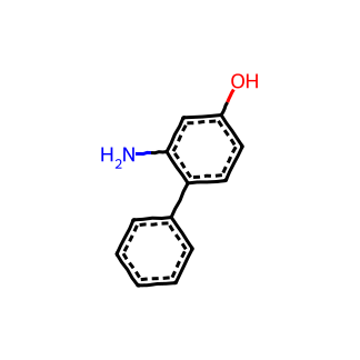 Nc1cc(O)ccc1-c1ccccc1